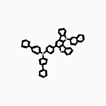 c1ccc(-c2ccc(N(c3ccc(-c4ccccc4)cc3)c3ccc(-c4cc5c6ccccc6n(-c6ccc7ccccc7c6)c5c5c4sc4ccccc45)cc3)cc2)cc1